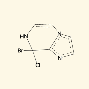 ClC1(Br)NC=Cn2ccnc21